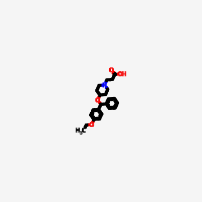 CCOc1ccc(C(OC2CCN(CCC(=O)O)CC2)c2ccccc2)cc1